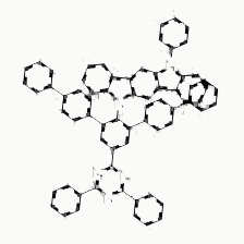 c1ccc(-c2ccc(-c3cc(-c4nc(-c5ccccc5)nc(-c5ccccc5)n4)cc(-c4ccc(-c5ccccc5)cc4)c3-n3c4ccccc4c4cc5c(cc43)c3ccccc3n5-c3ccccc3)cc2)cc1